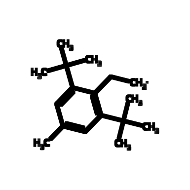 [CH2]Cc1c(C(C)(C)C)cc(C)cc1C(C)(C)C